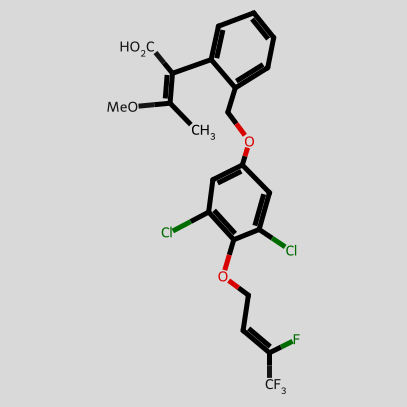 COC(C)=C(C(=O)O)c1ccccc1COc1cc(Cl)c(OCC=C(F)C(F)(F)F)c(Cl)c1